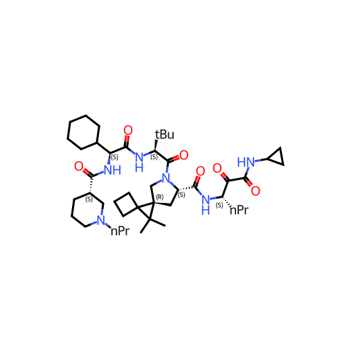 CCC[C@H](NC(=O)[C@@H]1C[C@@]2(CN1C(=O)[C@@H](NC(=O)[C@@H](NC(=O)[C@H]1CCCN(CCC)C1)C1CCCCC1)C(C)(C)C)C(C)(C)C21CCC1)C(=O)C(=O)NC1CC1